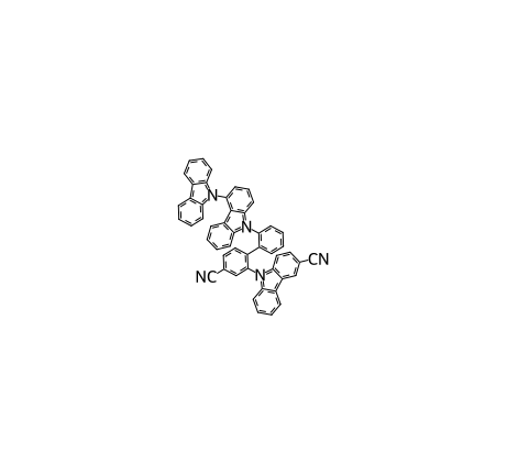 N#Cc1ccc(-c2ccccc2-n2c3ccccc3c3c(-n4c5ccccc5c5ccccc54)cccc32)c(-n2c3ccccc3c3cc(C#N)ccc32)c1